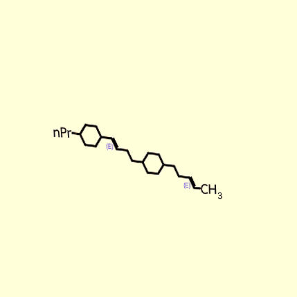 C/C=C/CCC1CCC(CC/C=C/C2CCC(CCC)CC2)CC1